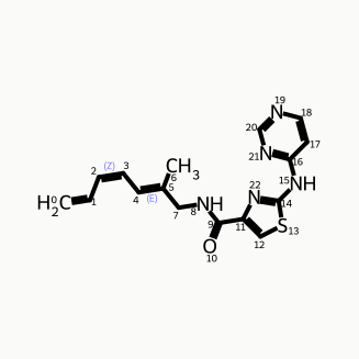 C=C/C=C\C=C(/C)CNC(=O)c1csc(Nc2ccncn2)n1